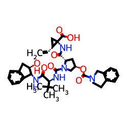 C=C[C@@H]1C[C@]1(NC(=O)[C@@H]1C[C@@H](OC(=O)N2CCc3ccccc3C2)CN1C(=O)N[C@H](C(=O)N[C@H]1c2ccccc2C[C@H]1O)C(C)(C)C)C(=O)O